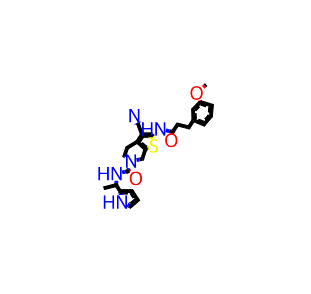 COc1cccc(CCC(=O)Nc2sc3c(c2C#N)CCN(C(=O)NC(C)c2ccc[nH]2)C3)c1